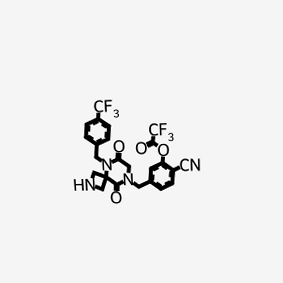 N#Cc1ccc(CN2CC(=O)N(Cc3ccc(C(F)(F)F)cc3)C3(CNC3)C2=O)cc1OC(=O)C(F)(F)F